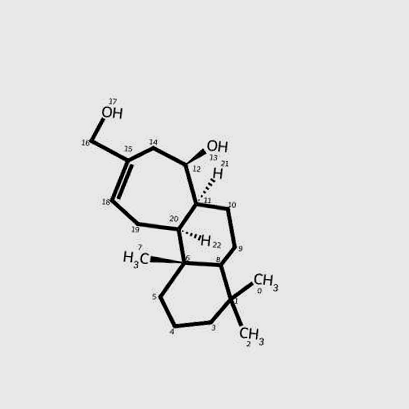 CC1(C)CCC[C@@]2(C)C1CC[C@@H]1[C@H](O)CC(CO)=CC[C@@H]12